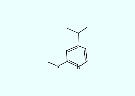 CSc1cc(C(C)C)ccn1